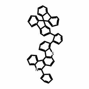 c1ccc(-c2nc3ccccc3c3c2ccc2sc4c(-c5ccccc5-c5ccc6c(c5)C5(c7ccccc7-c7ccccc75)c5ccccc5-6)cccc4c23)cc1